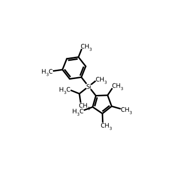 CC1=C(C)C(C)C([Si](C)(c2cc(C)cc(C)c2)C(C)C)=C1C